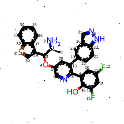 C[C@H](N)C(Oc1cnc(-c2cc(F)cc(F)c2O)c(-c2ccc3[nH]ncc3c2)c1)c1csc2ccccc12